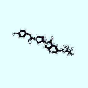 O=C(Cc1ccc(F)cc1)N1CCC(N2Cc3ncc(-c4noc(C(F)(F)F)n4)cc3C2=O)C1